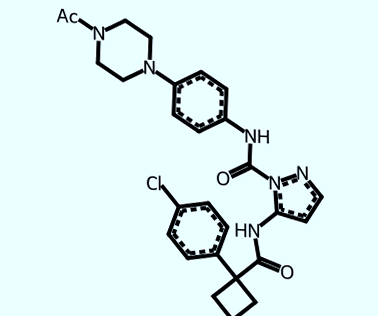 CC(=O)N1CCN(c2ccc(NC(=O)n3nccc3NC(=O)C3(c4ccc(Cl)cc4)CCC3)cc2)CC1